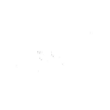 Cc1ccc(C=CC(=O)NC(=S)N(N)C(=O)Cc2cccs2)cc1